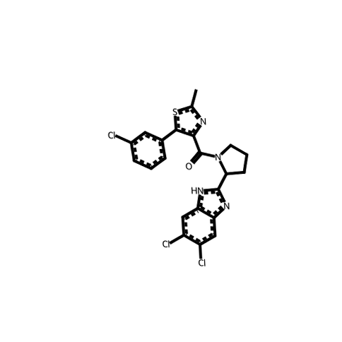 Cc1nc(C(=O)N2CCCC2c2nc3cc(Cl)c(Cl)cc3[nH]2)c(-c2cccc(Cl)c2)s1